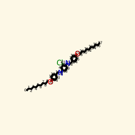 CCCCCCCCCCOc1ccc(C=Nc2ccc(N=Cc3ccc(OCCCCCCCCCC)cc3)c(Cl)c2)cc1